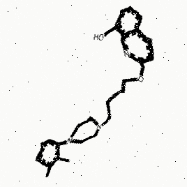 Cc1cccc(N2CCN(CCCCOc3ccc4cccc(O)c4n3)CC2)c1C